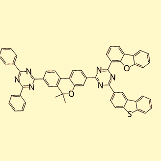 CC1(C)Oc2cc(-c3nc(-c4ccc5sc6ccccc6c5c4)nc(-c4cccc5c4oc4ccccc45)n3)ccc2-c2ccc(-c3nc(-c4ccccc4)nc(-c4ccccc4)n3)cc21